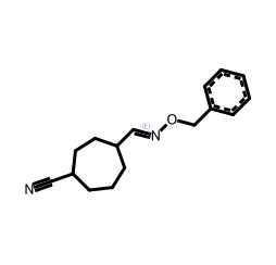 N#CC1CCCC(/C=N/OCc2ccccc2)CC1